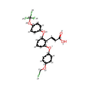 O=C(O)/C=C/c1c(Oc2ccc(OCF)cc2)cccc1Oc1ccc(OC(F)(F)F)cc1